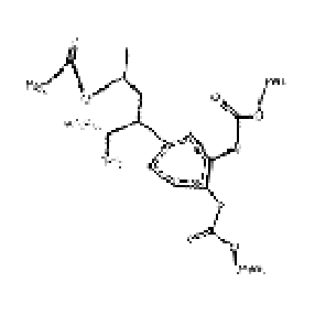 CCCC(C)OC(=O)Oc1ccc(C(CC(C)OC(=O)OC)[C@H](N)C(=O)O)cc1OC(=O)OC(C)CCC